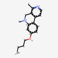 Cc1nccc2c1CN(C)c1cc(OCCCC(C)C)ccc1-2